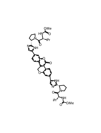 COC(=O)N[C@H](C(=O)N1CCC[C@H]1c1ncc(-c2ccc3c(c2)OCc2c-3c(=O)oc3cc(-c4cnc([C@@H]5CCCN5C(=O)[C@@H](NC(=O)OC)C(C)C)[nH]4)ccc23)[nH]1)C(C)C